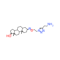 C[C@]12CCC(=NOCCn3cc(CCN)nn3)CC1CCC1C2CC[C@@]2(C)C1CC[C@@H]2O